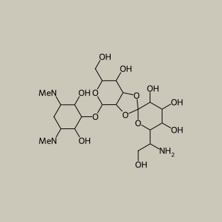 CNC1CC(NC)C(O)C(OC2OC(CO)C(O)C3OC4(OC(C(N)CO)C(O)C(O)C4O)OC23)C1O